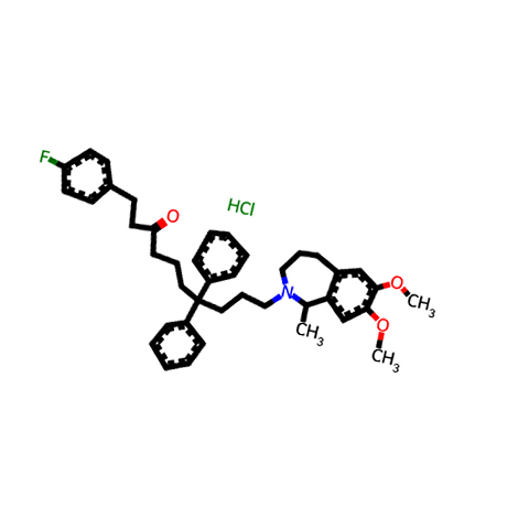 COc1cc2c(cc1OC)C(C)N(CCCC(CCCC(=O)CCc1ccc(F)cc1)(c1ccccc1)c1ccccc1)CCC2.Cl